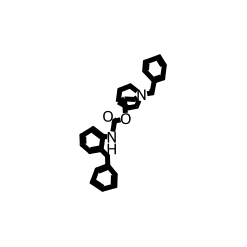 O=C(Nc1ccccc1Cc1ccccc1)OC1C[N+]2(Cc3ccccc3)CCC1CC2